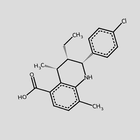 CC[C@H]1[C@@H](C)c2c(C(=O)O)ccc(C)c2N[C@H]1c1ccc(Cl)cc1